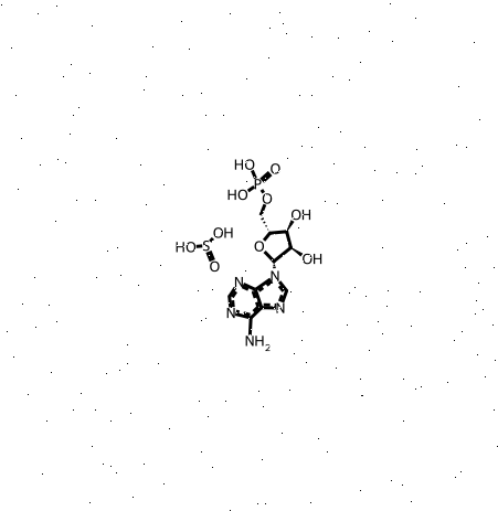 Nc1ncnc2c1ncn2[C@@H]1O[C@H](COP(=O)(O)O)[C@@H](O)[C@H]1O.O=S(O)O